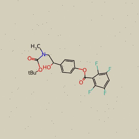 CN(CC(O)c1ccc(OC(=O)c2c(F)c(F)cc(F)c2F)cc1)C(=O)OC(C)(C)C